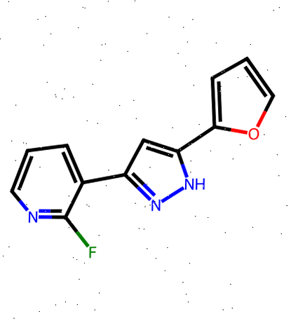 Fc1ncccc1-c1cc(-c2ccco2)[nH]n1